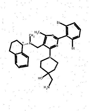 CCc1cccc(CC)c1-c1nc(C)c(CN(C)[C@H]2CCCc3ccccc32)c(N2CCC(O)(CN)CC2)n1